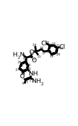 CC1=C(N)Nc2cc(C(N)C(=O)OC(C)(C)CCc3ccc(Cl)cc3Cl)ccc2O1